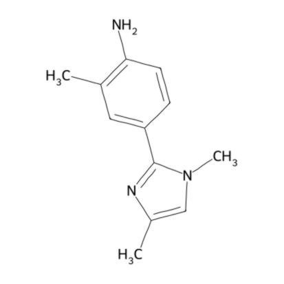 Cc1cn(C)c(-c2ccc(N)c(C)c2)n1